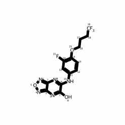 Oc1nc2nonc2nc1Nc1ccc(OCCCC(F)(F)F)c(F)c1